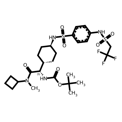 CN(C(=O)[C@@H](NC(=O)OC(C)(C)C)[C@H]1CC[C@H](NS(=O)(=O)c2ccc(NS(=O)(=O)CC(F)(F)F)cc2)CC1)C1CCC1